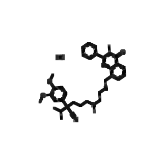 COc1ccc(C(C#N)(CCCN(C)CCSCc2cccc3c(=O)c(C)c(-c4ccccc4)oc23)C(C)C)cc1OC.Cl